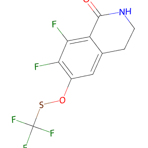 O=C1NCCc2cc(OSC(F)(F)F)c(F)c(F)c21